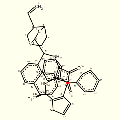 C=CC1CN2CCC1CC2C(Nc1c(N[C@H](C)C2=C(P(c3ccccc3)c3ccccc3)C=CC2)c(=O)c1=O)c1cccc2ccccc12